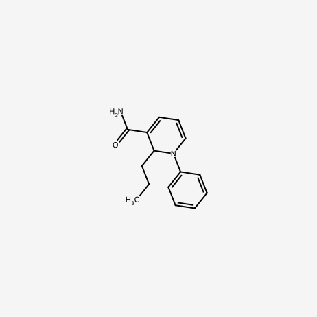 CCCC1C(C(N)=O)=CC=CN1c1ccccc1